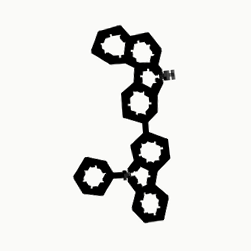 c1ccc(-n2c3ccccc3c3ccc(-c4ccc5c(c4)[nH]c4ccc6ccccc6c45)cc32)cc1